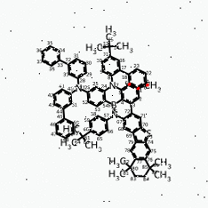 Cc1cc2c3c(c1)N(c1ccc(C(C)(C)C)cc1-c1ccccc1)c1cc(N(c4cccc(-c5ccccc5)c4)c4cccc(-c5ccccc5)c4)ccc1B3N(c1ccc(C(C)(C)C)cc1)c1cc3c(cc1-2)sc1cc2c(cc13)C(C)(C)CCC2(C)C